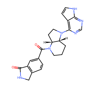 O=C1NCc2ccc(C(=O)N3CCC[C@@H]4[C@H]3CCN4c3ncnc4[nH]ccc34)cc21